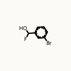 OC(F)c1cccc(Br)c1